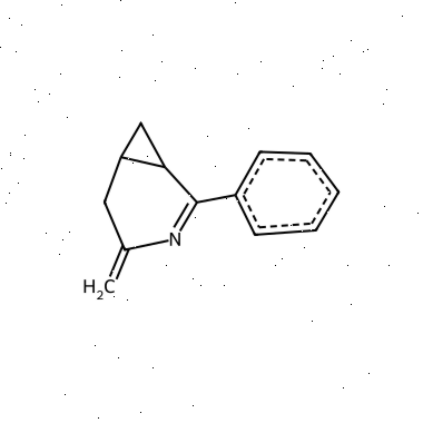 C=C1CC2CC2C(c2ccccc2)=N1